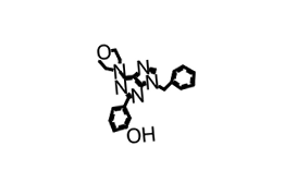 Oc1cccc(-c2nc(N3CCOCC3)c3ncn(Cc4ccccc4)c3n2)c1